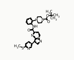 CSc1ccc(-c2cnn3ccc(C(=O)Nc4ccccc4N4CCN(C(=O)OC(C)(C)C)CC4)nc23)cn1